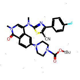 CN(c1nc(-c2ccc(F)cc2)c(C#N)s1)c1cn(C)c(=O)c2ccc(N3CCN(C(=O)OC(C)(C)C)CC3)cc12